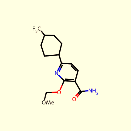 COCOc1nc(C2CCC(C(F)(F)F)CC2)ccc1C(N)=O